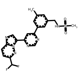 Cc1cc(CNS(C)(=O)=O)cc(-c2cc(-c3cnc4ccc(C(F)F)nn34)ncn2)c1